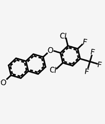 [O]c1ccc2cc(Oc3c(Cl)cc(C(F)(F)F)c(F)c3Cl)ccc2c1